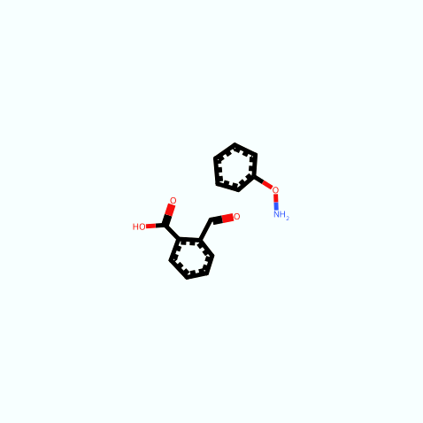 NOc1ccccc1.O=Cc1ccccc1C(=O)O